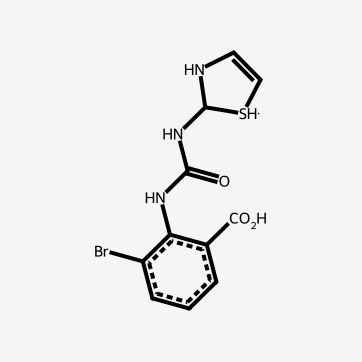 O=C(Nc1c(Br)cccc1C(=O)O)NC1NC=C[SH]1